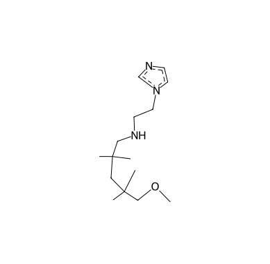 COCC(C)(C)CC(C)(C)CNCCn1ccnc1